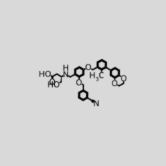 Cc1c(COc2ccc(CN[C@@H](CO)CC(=O)O)c(OCc3cccc(C#N)c3)c2)cccc1-c1ccc2c(c1)OCCO2